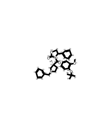 COc1ccc([C@@H]2CN(Cc3ccccc3)C[C@@]2(C)C(=O)N2C(=O)OCC2c2ccccc2)cc1OC(C)(C)C